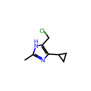 Cc1nc(C2CC2)c(CCl)[nH]1